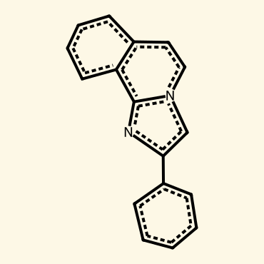 c1ccc(-c2cn3ccc4ccccc4c3n2)cc1